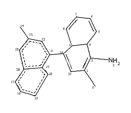 CC1=C(N)C2C=CC=CC2C(c2cc(C)cc3ccccc23)=C1